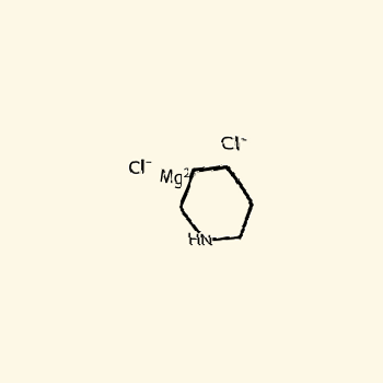 C1CCNCC1.[Cl-].[Cl-].[Mg+2]